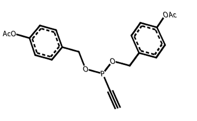 C#CP(OCc1ccc(OC(C)=O)cc1)OCc1ccc(OC(C)=O)cc1